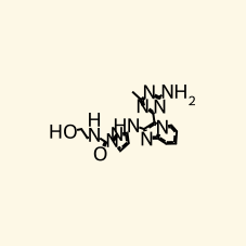 Cc1nc(N)nc(-c2c(Nc3ccn(C(=O)NCCO)n3)nc3ccccn23)n1